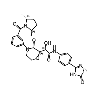 C[C@@H]1CC[C@@H](C)N1C(=O)c1cccc(N2CCO[C@H]([C@@H](O)C(=O)Nc3ccc(-c4noc(=O)[nH]4)cc3)C2=O)c1